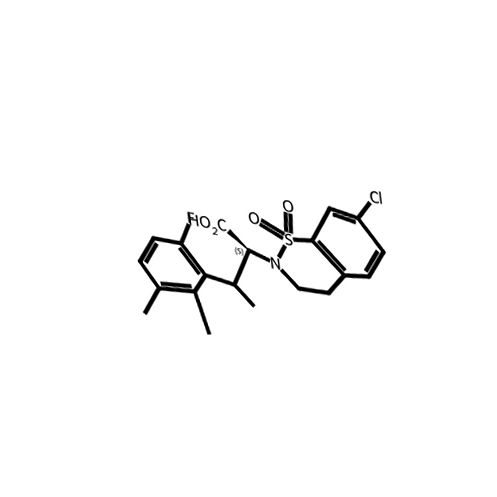 Cc1ccc(F)c(C(C)[C@@H](C(=O)O)N2CCc3ccc(Cl)cc3S2(=O)=O)c1C